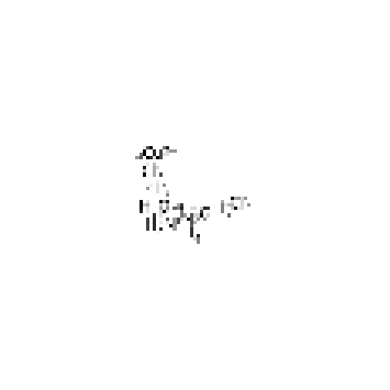 O.O.[Cl-].[Cl-].[Cl-].[Cl-].[Cu+2].[NH4+].[NH4+]